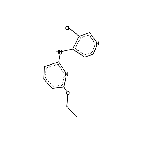 CCOc1cccc(Nc2ccncc2Cl)n1